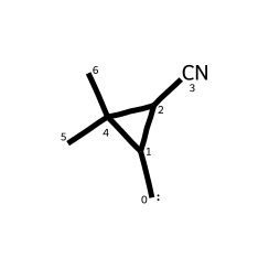 [CH]C1C(C#N)C1(C)C